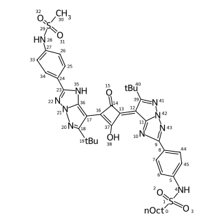 CCCCCCCCS(=O)(=O)Nc1ccc(-c2nc3/c(=C4/C(=O)C(c5c(C(C)(C)C)nn6nc(-c7ccc(NS(C)(=O)=O)cc7)[nH]c56)=C4O)c(C(C)(C)C)nn3n2)cc1